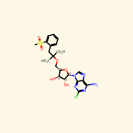 CS(=O)(=O)c1ccccc1CC(OC[C@H]1O[C@@H](n2cnc3c(N)nc(Cl)nc32)[C@H](O)[C@H]1O)(C(=O)O)C(=O)O